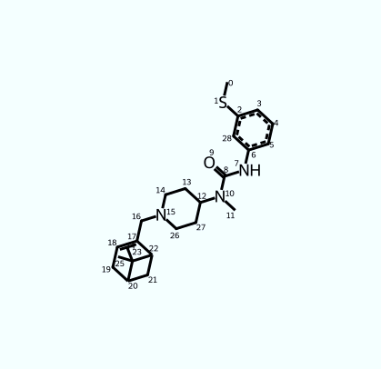 CSc1cccc(NC(=O)N(C)C2CCN(CC3=CCC4CC3C4(C)C)CC2)c1